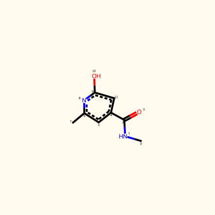 CNC(=O)c1cc(C)nc(O)c1